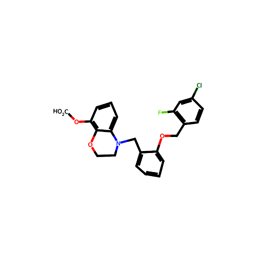 O=C(O)Oc1cccc2c1OCCN2Cc1ccccc1OCc1ccc(Cl)cc1F